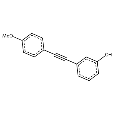 COc1ccc(C#Cc2cccc(O)c2)cc1